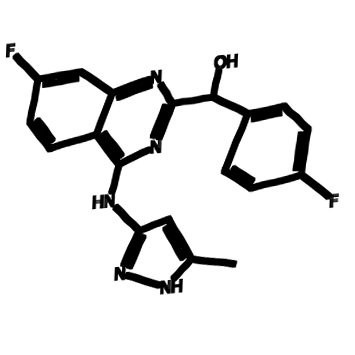 Cc1cc(Nc2nc(C(O)c3ccc(F)cc3)nc3cc(F)ccc23)n[nH]1